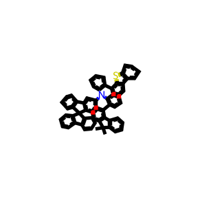 CC1(C)c2ccccc2-c2c(-c3ccccc3N(c3ccc4c(c3)-c3ccccc3C43C4=C(C=CCC4)c4ccccc43)c3ccccc3-c3cccc4c3sc3ccccc34)cccc21